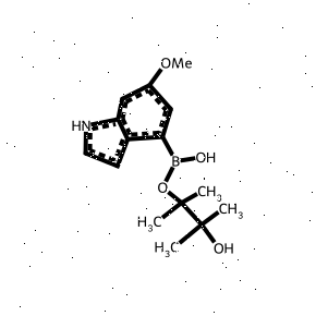 COc1cc(B(O)OC(C)(C)C(C)(C)O)c2cc[nH]c2c1